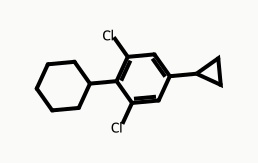 Clc1cc(C2CC2)cc(Cl)c1C1CCCCC1